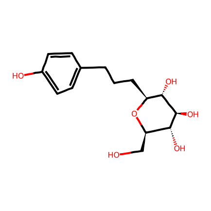 OC[C@H]1O[C@@H](CCCc2ccc(O)cc2)[C@H](O)[C@@H](O)[C@@H]1O